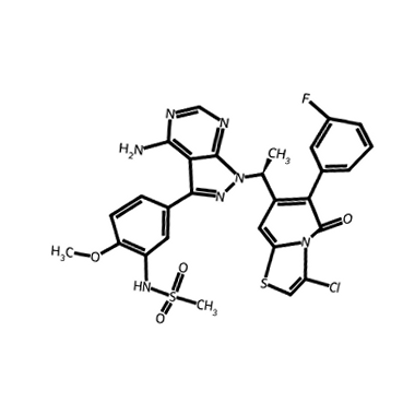 COc1ccc(-c2nn([C@@H](C)c3cc4scc(Cl)n4c(=O)c3-c3cccc(F)c3)c3ncnc(N)c23)cc1NS(C)(=O)=O